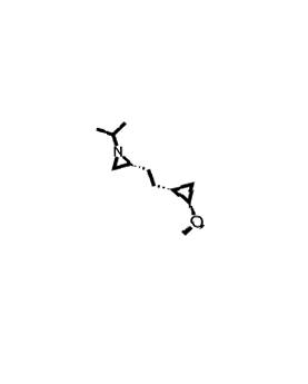 CO[C@@H]1C[C@H]1CC[C@@H]1CN1C(C)C